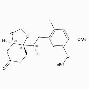 CCCCOc1cc(C[C@H](C)[C@]23CCC(=O)C[C@H]2OCO3)c(F)cc1OC